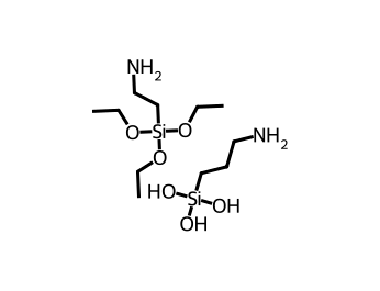 CCO[Si](CCN)(OCC)OCC.NCCC[Si](O)(O)O